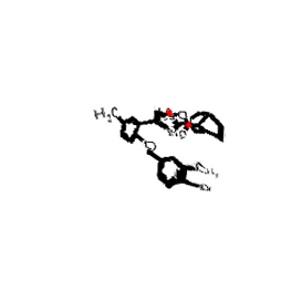 COC(=O)C1C2CCC1CN(c1nc(-c3cc(C)ccc3OCc3ccc(Br)c(C)c3)cs1)C2